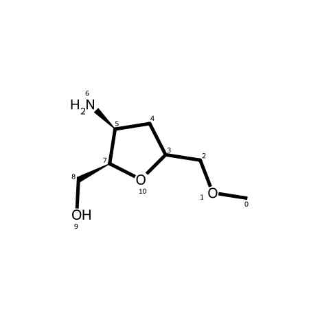 COCC1C[C@H](N)[C@H](CO)O1